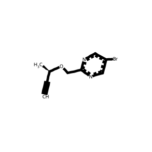 C#C[C@@H](C)OCc1ncc(Br)cn1